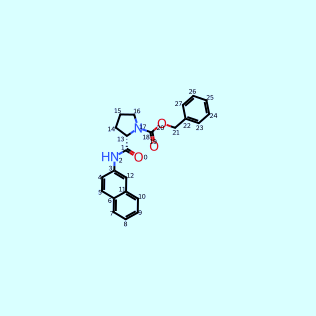 O=C(Nc1ccc2ccccc2c1)[C@@H]1CCCN1C(=O)OCc1ccccc1